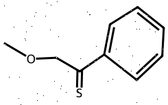 COCC(=S)c1ccccc1